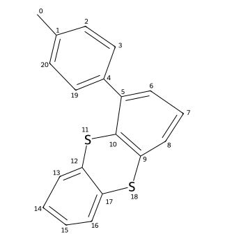 Cc1ccc(-c2cccc3c2Sc2ccccc2S3)cc1